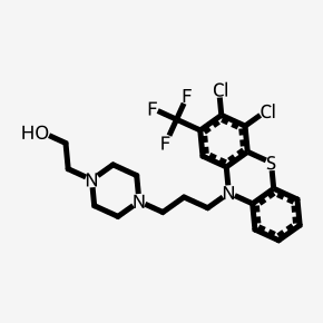 OCCN1CCN(CCCN2c3ccccc3Sc3c2cc(C(F)(F)F)c(Cl)c3Cl)CC1